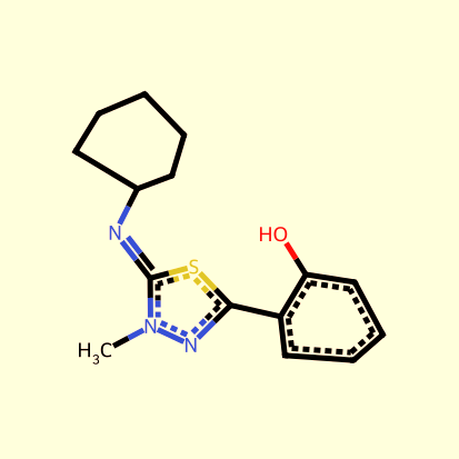 Cn1nc(-c2ccccc2O)sc1=NC1CCCCC1